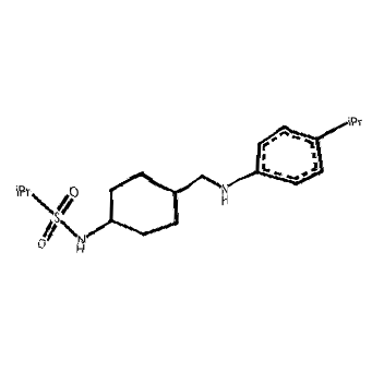 CC(C)c1ccc(NCC2CCC(NS(=O)(=O)C(C)C)CC2)cc1